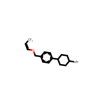 CCCC1CCC(c2ccc(CO/C=C\C(F)(F)F)cc2)CC1